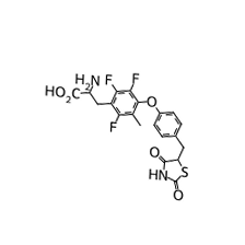 Cc1c(F)c(CC(N)C(=O)O)c(F)c(F)c1Oc1ccc(CC2SC(=O)NC2=O)cc1